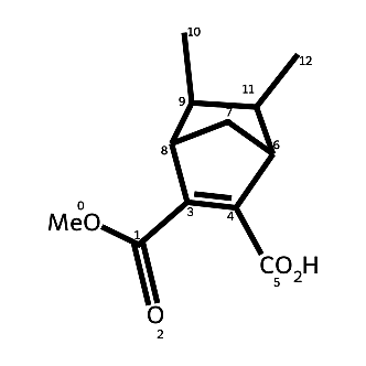 COC(=O)C1=C(C(=O)O)C2CC1C(C)C2C